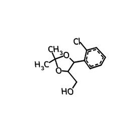 CC1(C)OC(CO)C(c2ccccc2Cl)O1